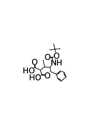 CC(C(Cc1ccccc1)NC(=O)OC(C)(C)C)C(C(=O)O)C(=O)O